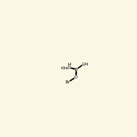 OB(O)OBr.[KH]